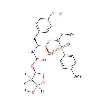 COc1ccc(S(=O)(=O)N(CC(C)C)C[C@@H](O)[C@H](Cc2ccc(CBr)cc2)NC(=O)O[C@H]2CO[C@H]3OCC[C@H]32)cc1